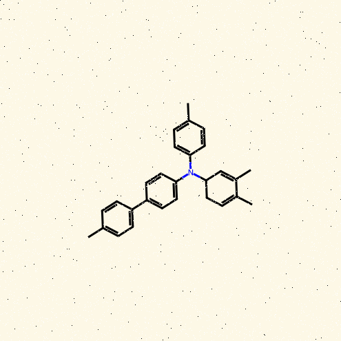 CC1=CCC(N(c2ccc(C)cc2)c2ccc(-c3ccc(C)cc3)cc2)C=C1C